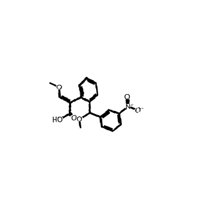 CO/C=C(/C(=O)O)c1ccccc1C(OC)c1cccc([N+](=O)[O-])c1